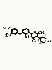 C=C1CC(c2cccc(Cc3ccc(C)c(C(C)(C)C)c3)c2CC)NC(=C)C1C1CCNCC1